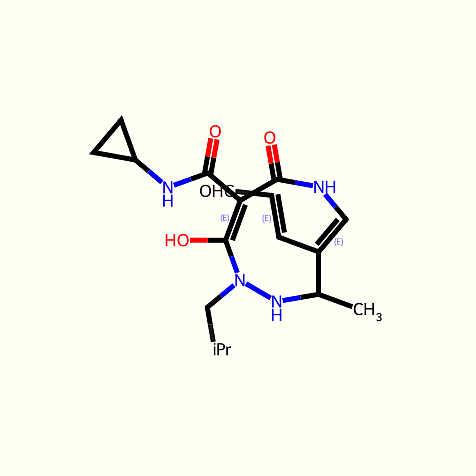 CC(C)CN1NC(C)C(/C=C/C=O)=C/NC(=O)/C(C(=O)NC2CC2)=C\1O